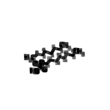 CCCCCCCC.CCCCCCCCOS(=O)(=O)O